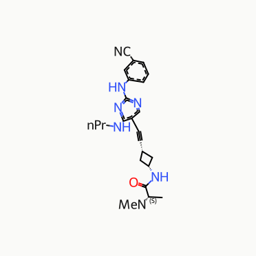 CCCNc1nc(Nc2cccc(C#N)c2)ncc1C#C[C@H]1C[C@@H](NC(=O)[C@H](C)NC)C1